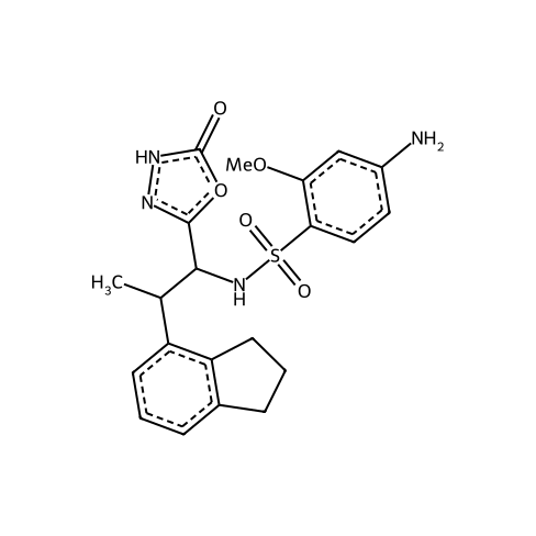 COc1cc(N)ccc1S(=O)(=O)NC(c1n[nH]c(=O)o1)C(C)c1cccc2c1CCC2